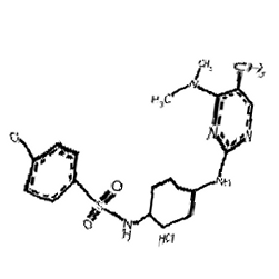 Cc1cnc(NC2CCC(NS(=O)(=O)c3ccc(Cl)cc3)CC2)nc1N(C)C.Cl